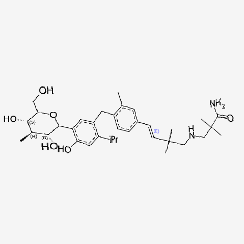 Cc1cc(/C=C/C(C)(C)CNCC(C)(C)C(N)=O)ccc1Cc1cc(C2OC(CO)[C@@H](O)[C@H](C)[C@H]2O)c(O)cc1C(C)C